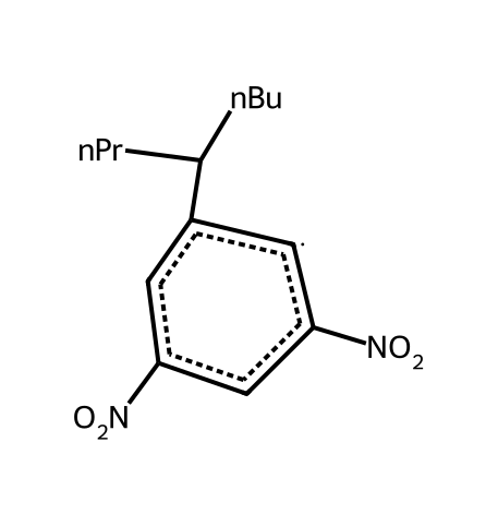 CCCCC(CCC)c1[c]c([N+](=O)[O-])cc([N+](=O)[O-])c1